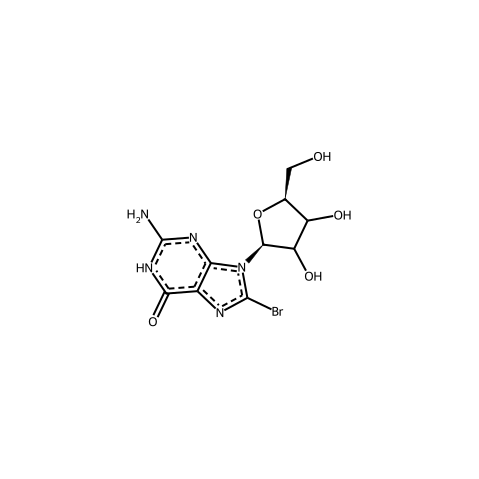 Nc1nc2c(nc(Br)n2[C@H]2O[C@@H](CO)C(O)C2O)c(=O)[nH]1